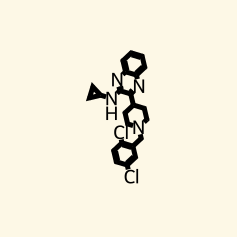 Clc1ccc(Cl)c(CN2CCC(c3nc4ccccc4nc3NC3CC3)CC2)c1